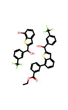 CCOC(=O)c1cccc(-c2cccc3cc(C(O)c4cccc(C(F)(F)F)c4)sc23)c1.OC(c1cccc(C(F)(F)F)c1)c1cc2cccc(Br)c2s1